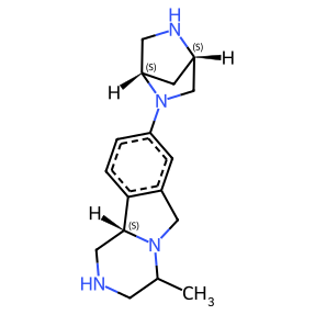 CC1CNC[C@@H]2c3ccc(N4C[C@@H]5C[C@H]4CN5)cc3CN12